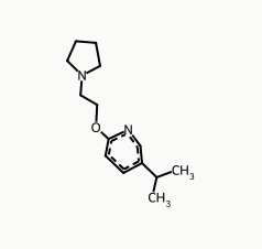 CC(C)c1ccc(OCCN2CCCC2)nc1